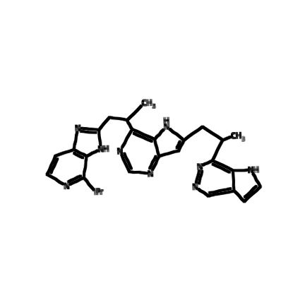 CC(C)c1nccc2nc(CC(C)c3ncnc4cc(CC(C)c5nncc6cc[nH]c56)[nH]c34)[nH]c12